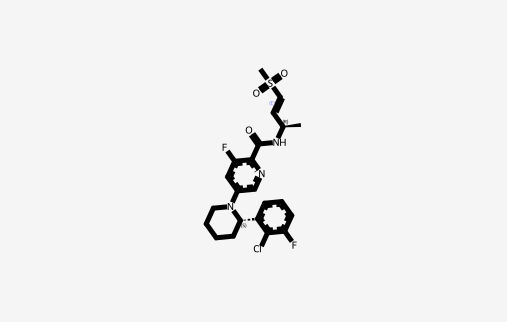 C[C@H](/C=C/S(C)(=O)=O)NC(=O)c1ncc(N2CCCC[C@H]2c2cccc(F)c2Cl)cc1F